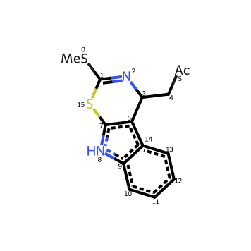 CSC1=NC(CC(C)=O)c2c([nH]c3ccccc23)S1